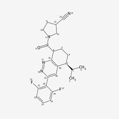 CC(C)[C@@H]1CCC(C(=O)N2CCC(C#N)C2)c2nnc(-c3c(F)cccc3F)cc21